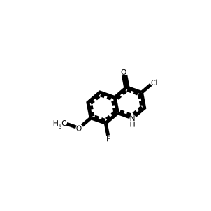 COc1ccc2c(=O)c(Cl)c[nH]c2c1F